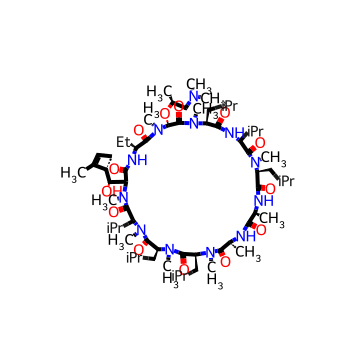 CC[C@@H]1NC(=O)C([C@H](O)[C@H]2CC=C2C)N(C)C(=O)C(C(C)C)N(C)C(=O)[C@H](CC(C)C)N(C)C(=O)[C@H](CC(C)C)N(C)C(=O)[C@@H](C)NC(=O)[C@H](C)NC(=O)[C@H](CC(C)C)N(C)C(=O)C(C(C)C)NC(=O)[C@H](CC(C)C)N(C)C(=O)[C@@H](O[C@@H](C)CN(C)C)N(C)C1=O